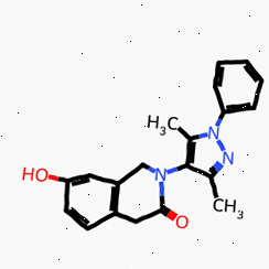 Cc1nn(-c2ccccc2)c(C)c1N1Cc2cc(O)ccc2CC1=O